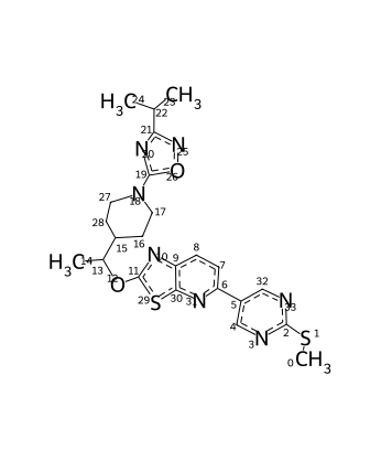 CSc1ncc(-c2ccc3nc(OC(C)C4CCN(c5nc(C(C)C)no5)CC4)sc3n2)cn1